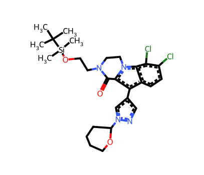 CC(C)(C)[Si](C)(C)OCCN1CCn2c(c(-c3cnn(C4CCCCO4)c3)c3ccc(Cl)c(Cl)c32)C1=O